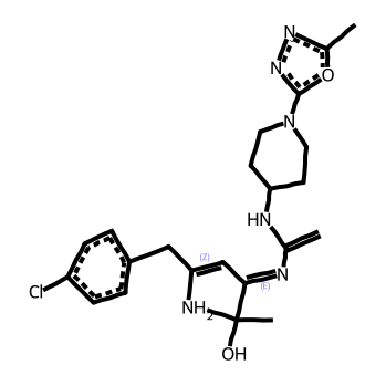 C=C(/N=C(\C=C(/N)Cc1ccc(Cl)cc1)C(C)(C)O)NC1CCN(c2nnc(C)o2)CC1